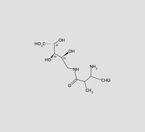 CC(C(=O)NC[C@H](O)[C@@H](O)[C@@H](O)C(=O)O)C(N)C=O